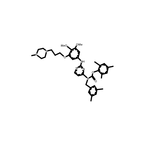 COc1cc(Nc2nccc(N(Cc3cc(C)cc(C)c3)C(=O)Oc3c(C)cc(C)cc3C)n2)cc(OCCCN2CCN(C)CC2)c1OC